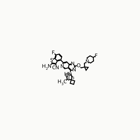 CN(C)C1(CNc2nc(OCC3(CN4CCC(F)CC4)CC3)nc3cc(-c4ccc(F)c5sc(N)c(C#N)c45)ncc23)CCC1